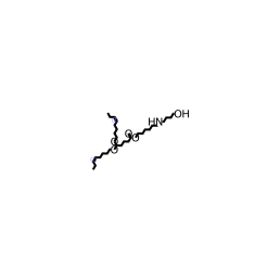 CC/C=C\CCCCOC(CCCC(=O)OCCCCCCNCCCCO)OCCCC/C=C\CC